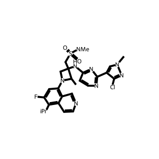 CNS(=O)(=O)CC1(Nc2ccnc(-c3cn(C)nc3Cl)n2)CN(c2cc(F)c(C(C)C)c3ccncc23)C1C